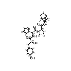 CC1(C)C2CCC1(C)[C@H](OC(=O)C1CCCN1C(=O)C(NC(=O)C(O)Cc1ccc(O)cc1)c1cccs1)C2